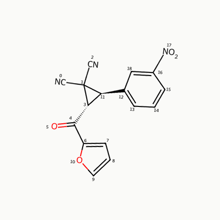 N#CC1(C#N)[C@@H](C(=O)c2ccco2)[C@@H]1c1cccc([N+](=O)[O-])c1